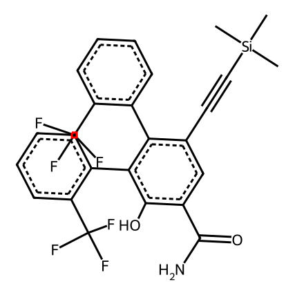 C[Si](C)(C)C#Cc1cc(C(N)=O)c(O)c(-c2ccccc2C(F)(F)F)c1-c1ccccc1C(F)(F)F